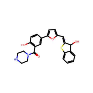 O=C(c1cc(-c2ccc(/C=C3\Sc4ccccc4C3O)o2)ccc1O)N1CCNCC1